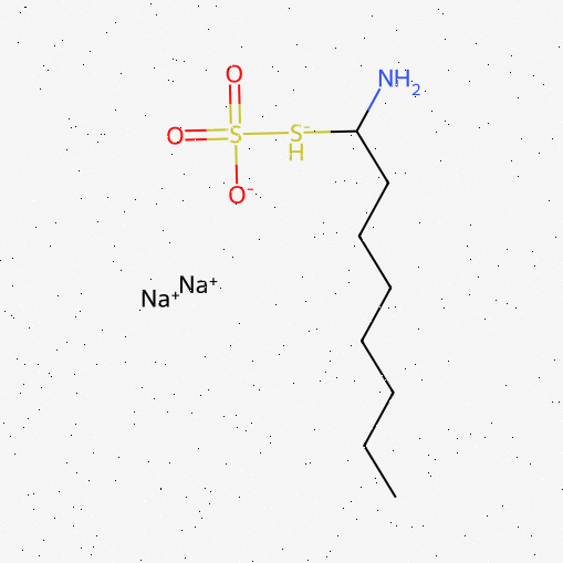 CCCCCCCC(N)[SH-]S(=O)(=O)[O-].[Na+].[Na+]